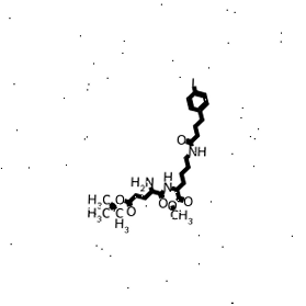 COC(=O)C(CCCCNC(=O)CCCc1ccc(I)cc1)NC(=O)C(N)CCC(=O)OC(C)(C)C